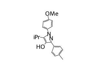 COc1ccc(-n2nc(-c3ccc(C)cc3)c(O)c2C(C)C)cc1